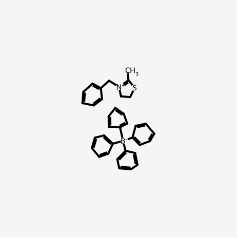 CC1=[N+](Cc2ccccc2)CCS1.c1ccc([B-](c2ccccc2)(c2ccccc2)c2ccccc2)cc1